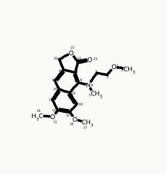 COCCN(C)c1c2c(cc3cc(OC)c(OC)cc13)COC2=O